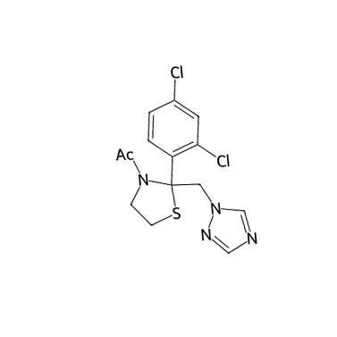 CC(=O)N1CCSC1(Cn1cncn1)c1ccc(Cl)cc1Cl